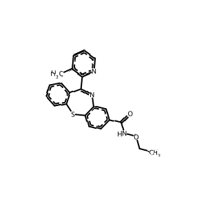 CCONC(=O)c1ccc2c(c1)N=C(c1ncccc1C)c1ccccc1S2